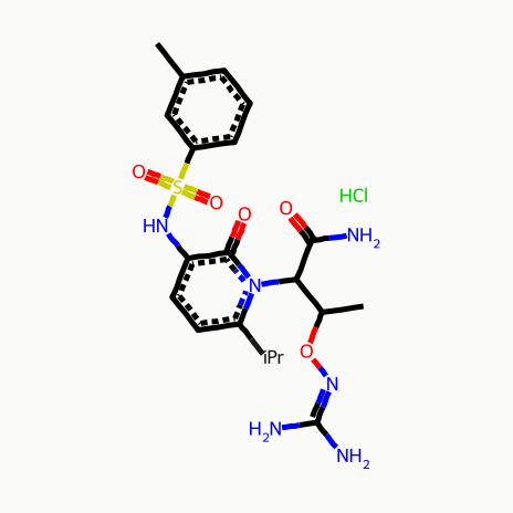 Cc1cccc(S(=O)(=O)Nc2ccc(C(C)C)n(C(C(N)=O)C(C)ON=C(N)N)c2=O)c1.Cl